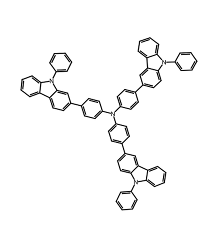 c1ccc(-n2c3ccccc3c3cc(-c4ccc(N(c5ccc(-c6ccc7c(c6)c6ccccc6n7-c6ccccc6)cc5)c5ccc(-c6ccc7c8ccccc8n(-c8ccccc8)c7c6)cc5)cc4)ccc32)cc1